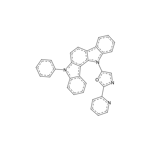 c1ccc(-n2c3ccccc3c3c2ccc2c4ccccc4n(-c4cnc(-c5ccccn5)o4)c23)cc1